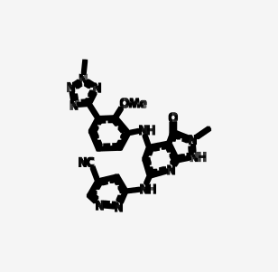 COc1c(Nc2cc(Nc3cc(C#N)cnn3)nc3[nH]n(C)c(=O)c23)cccc1-c1nnn(C)n1